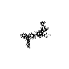 CC1(C)c2cc(-c3ccc(-c4nc(-c5ccccc5)nc(-c5ccccn5)n4)cc3)ccc2-c2cc3c(cc21)C1CC1c1ccccc1-3